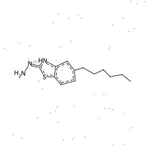 CCCCCCc1ccc2s/c(=N\N)[nH]c2c1